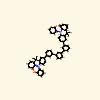 CC1(C)c2cc(-c3cccc(-c4cccc(-c5cccc(-c6ccc7c(c6)C(C)(C)c6cccc8c6N7c6ccccc6O8)c5)c4)c3)ccc2N2c3ccccc3Oc3cccc1c32